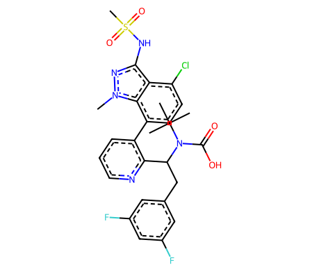 Cn1nc(NS(C)(=O)=O)c2c(Cl)ccc(-c3cccnc3C(Cc3cc(F)cc(F)c3)N(C(=O)O)C(C)(C)C)c21